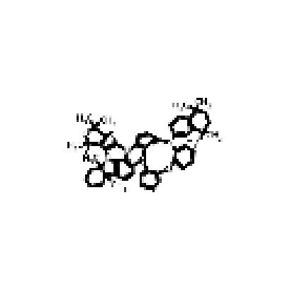 CC1(C)CCC(C)(C)c2cc(N3c4ccc5c(c4)N(c4ccccc4Oc4ccccc43)c3ccc4c6c3B5c3sc5c(c3N6C3(C)CCCCC43C)C(C)(C)OC5(C)C)ccc21